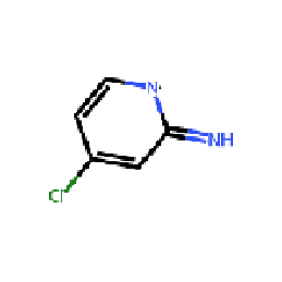 N=C1C=C(Cl)C=C[N]1